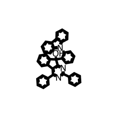 OC1(c2ccccc2-n2c3ccccc3c3ccccc32)c2ccccc2-c2c(-c3ccccc3)nc(-c3ccccc3)nc21